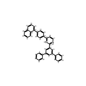 c1ccc(-c2cc(-c3ccccc3)cc(-c3nccc(-c4ccc(-c5cccc6ccccc56)cc4)n3)c2)cc1